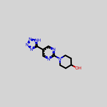 OC1CCN(c2ncc(-c3nnn[nH]3)cn2)CC1